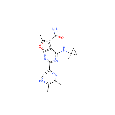 Cc1ncc(-c2nc(NC3(C)CC3)c3c(C(N)=O)c(C)oc3n2)nc1C